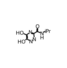 CC(C)NC(=O)c1nnc(O)c(O)n1